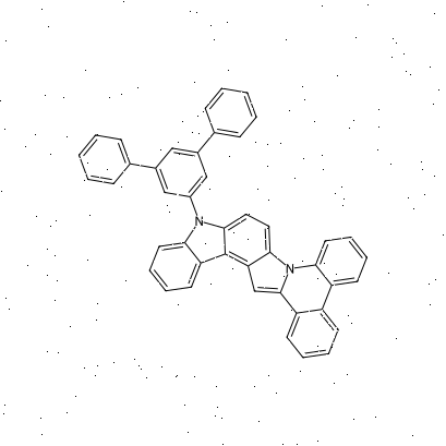 c1ccc(-c2cc(-c3ccccc3)cc(-n3c4ccccc4c4c5cc6c7ccccc7c7ccccc7n6c5ccc43)c2)cc1